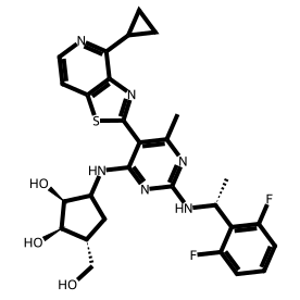 Cc1nc(N[C@H](C)c2c(F)cccc2F)nc(NC2C[C@H](CO)[C@@H](O)[C@H]2O)c1-c1nc2c(C3CC3)nccc2s1